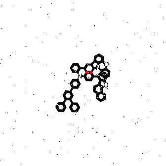 C1=CC2C(C=C1c1ccccc1N(c1ccc(-c3ccc(-c4ccccc4)c(-c4ccccc4)c3)cc1)c1ccc(-c3cccc4oc5c6ccccc6ccc5c34)cc1)c1cccc3c1N2c1ccccc1O3